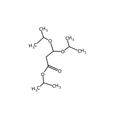 CC(C)OC(=O)CC(OC(C)C)OC(C)C